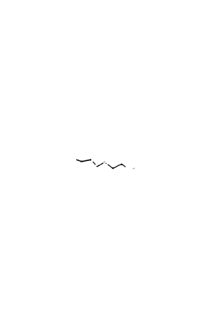 O=COCCCCCCF